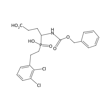 O=C(O)CCC(NC(=O)OCc1ccccc1)P(=O)(O)CCc1cccc(Cl)c1Cl